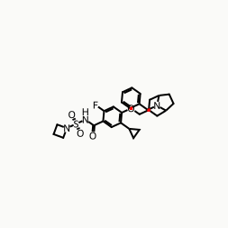 O=C(NS(=O)(=O)N1CCC1)c1cc(C2CC2)c(OCC2CC3CCC(C2)N3Cc2ccccc2)cc1F